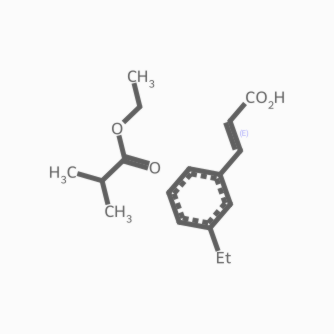 CCOC(=O)C(C)C.[CH2]Cc1cccc(/C=C/C(=O)O)c1